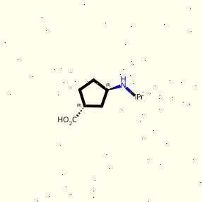 CC(C)N[C@@H]1CC[C@@H](C(=O)O)C1